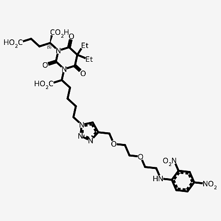 CCC1(CC)C(=O)N(C(CCCCn2cc(COCCOCCNc3ccc([N+](=O)[O-])cc3[N+](=O)[O-])nn2)C(=O)O)C(=O)N([C@@H](CCC(=O)O)C(=O)O)C1=O